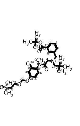 CN(C(=O)CN(Cc1cccc(C(=O)OC(C)(C)C)c1)CC(C)(C)C)c1ccc(OCOCC[Si](C)(C)C)cc1Cl